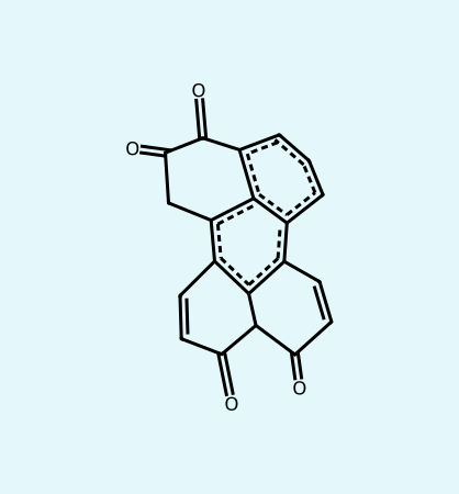 O=C1Cc2c3c4c(c5cccc(c25)C1=O)C=CC(=O)C4C(=O)C=C3